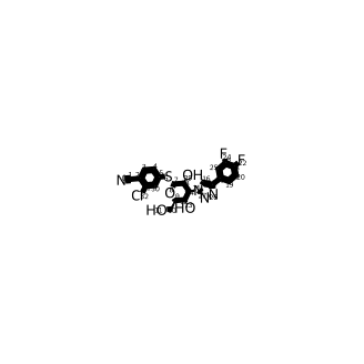 N#Cc1ccc(S[C@H]2O[C@H](CO)[C@H](O)[C@H](n3cc(-c4ccc(F)c(F)c4)nn3)[C@H]2O)cc1Cl